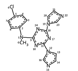 CN(c1ccc(Cl)cc1)c1nc(-n2ccnc2)nc(-n2ccnc2)n1